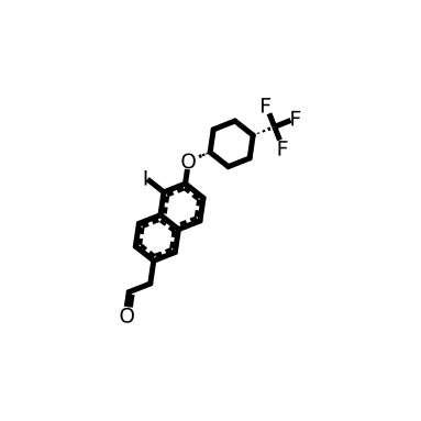 O=CCc1ccc2c(I)c(O[C@H]3CC[C@@H](C(F)(F)F)CC3)ccc2c1